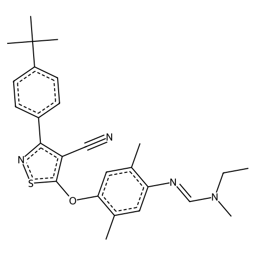 CCN(C)C=Nc1cc(C)c(Oc2snc(-c3ccc(C(C)(C)C)cc3)c2C#N)cc1C